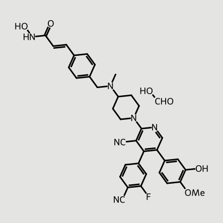 COc1ccc(-c2cnc(N3CCC(N(C)Cc4ccc(/C=C/C(=O)NO)cc4)CC3)c(C#N)c2-c2ccc(C#N)c(F)c2)cc1O.O=CO